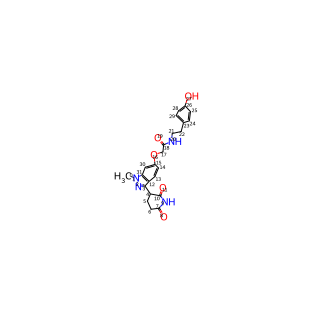 Cn1nc(C2CCC(=O)NC2=O)c2ccc(OCC(=O)NCCc3ccc(O)cc3)cc21